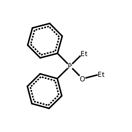 CCO[P](CC)(c1ccccc1)c1ccccc1